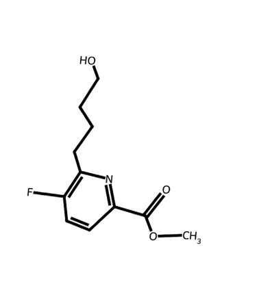 COC(=O)c1ccc(F)c(CCCCO)n1